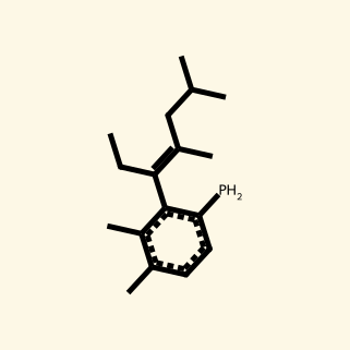 CC/C(=C(/C)CC(C)C)c1c(P)ccc(C)c1C